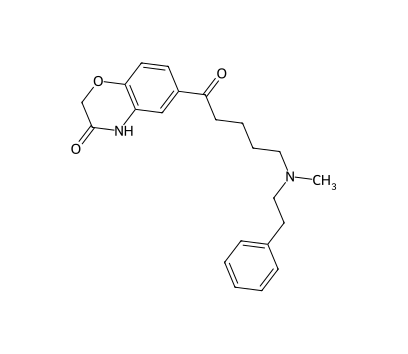 CN(CCCCC(=O)c1ccc2c(c1)NC(=O)CO2)CCc1ccccc1